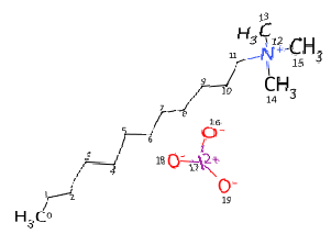 CCCCCCCCCCCC[N+](C)(C)C.[O-][I+2]([O-])[O-]